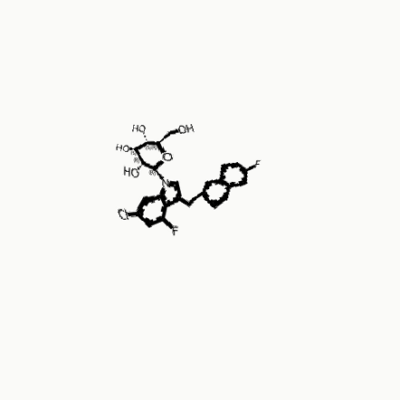 OC[C@H]1O[C@@H](n2cc(Cc3ccc4cc(F)ccc4c3)c3c(F)cc(Cl)cc32)[C@H](O)[C@@H](O)[C@@H]1O